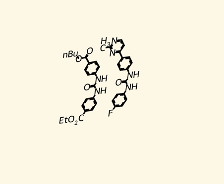 CCCCOC(=O)c1ccc(NC(=O)Nc2ccc(C(=O)OCC)cc2)cc1.Cc1nccc(-c2ccc(NC(=O)Nc3ccc(F)cc3)cc2)n1